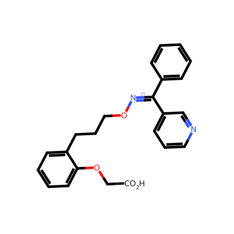 O=C(O)COc1ccccc1CCCO/N=C(/c1ccccc1)c1cccnc1